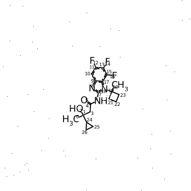 CC(O)(CC(=O)Nc1nc2cc(F)c(F)c(F)c2n1C1(C)CCC1)C1CC1